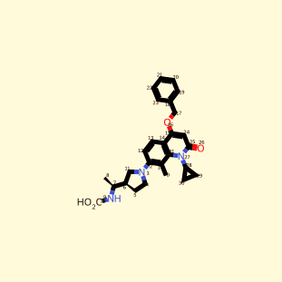 Cc1c(N2CC[C@@H]([C@H](C)NC(=O)O)C2)ccc2c(OCc3ccccc3)cc(=O)n(C3CC3)c12